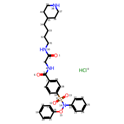 Cl.O=C(CNC(=O)c1ccc(S(=O)(=O)N(Oc2ccccc2)c2ccccc2)cc1)NCCCCC1CCNCC1